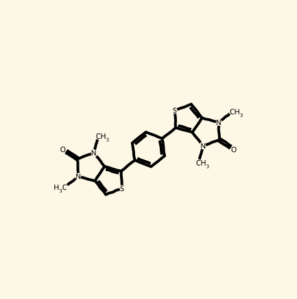 Cn1c(=O)n(C)c2c(-c3ccc(-c4scc5c4n(C)c(=O)n5C)cc3)scc21